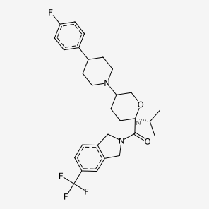 CC(C)[C@]1(C(=O)N2Cc3ccc(C(F)(F)F)cc3C2)CCC(N2CCC(c3ccc(F)cc3)CC2)CO1